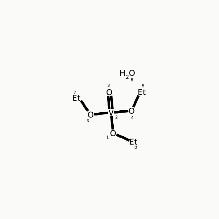 CC[O][V](=[O])([O]CC)[O]CC.O